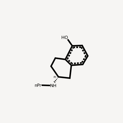 CCCN[C@@H]1CCc2c(O)cccc2C1